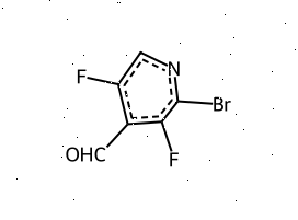 O=Cc1c(F)cnc(Br)c1F